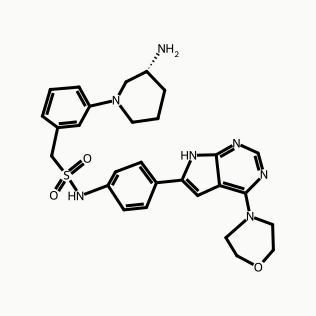 N[C@@H]1CCCN(c2cccc(CS(=O)(=O)Nc3ccc(-c4cc5c(N6CCOCC6)ncnc5[nH]4)cc3)c2)C1